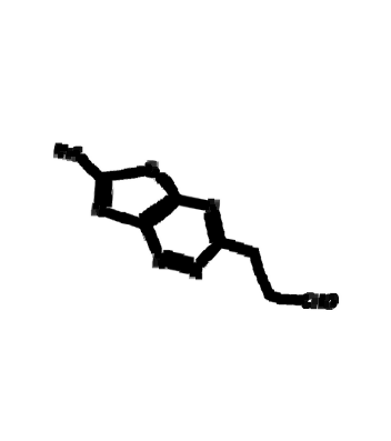 CSc1nc2nnc(CCC=O)nc2s1